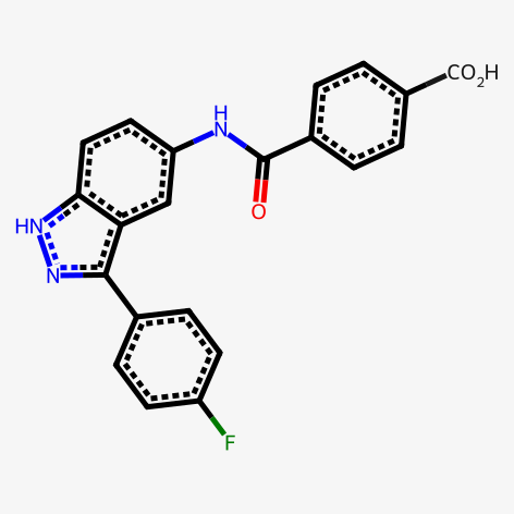 O=C(O)c1ccc(C(=O)Nc2ccc3[nH]nc(-c4ccc(F)cc4)c3c2)cc1